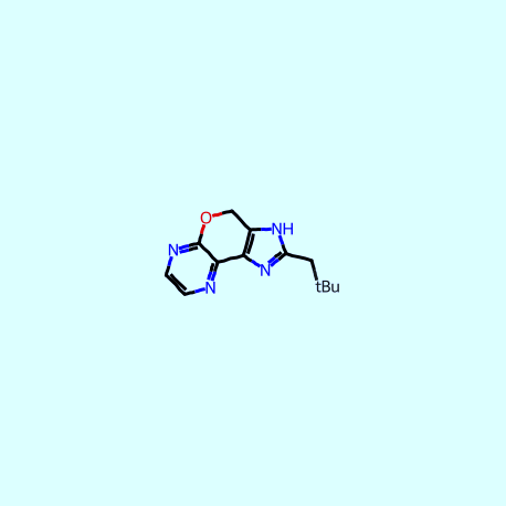 CC(C)(C)Cc1nc2c([nH]1)COc1nccnc1-2